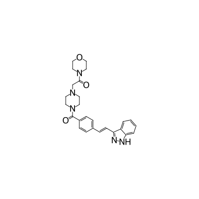 O=C(CN1CCN(C(=O)c2ccc(C=Cc3n[nH]c4ccccc34)cc2)CC1)N1CCOCC1